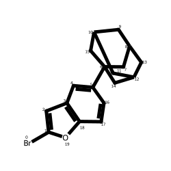 Brc1cc2cc(C34CC5CC(CC(C5)C3)C4)ccc2o1